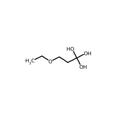 [CH2]COCCC(O)(O)O